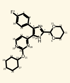 Fc1ccc(-c2nc(C3OCCCO3)[nH]c2-c2ccnc(OC3CCCCC3)n2)cc1